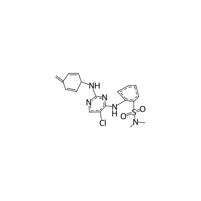 C=C1C=CC(Nc2ncc(Cl)c(Nc3ccccc3S(=O)(=O)N(C)C)n2)C=C1